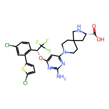 Nc1nc(O[C@H](c2ccc(Cl)cc2-c2ccc(Cl)s2)C(F)(F)F)cc(N2CCC3(CC2)CN[C@H](C(=O)O)C3)n1